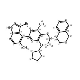 Cc1ccc2[nH]cc(Br)c2c1-c1cc(OC2CCCC2)c(CN(C)[C@H]2CCCc3ccccc32)c(C)n1